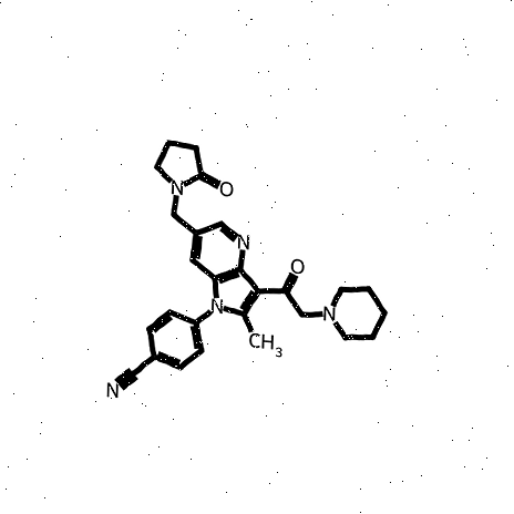 Cc1c(C(=O)CN2CCCCC2)c2ncc(CN3CCCC3=O)cc2n1-c1ccc(C#N)cc1